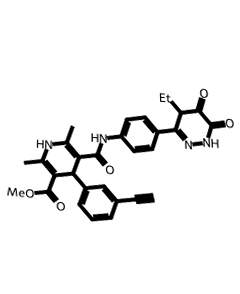 C#Cc1cccc(C2C(C(=O)Nc3ccc(C4=NNC(=O)C(=O)C4CC)cc3)=C(C)NC(C)=C2C(=O)OC)c1